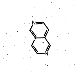 c1cc2cnccc2cn1